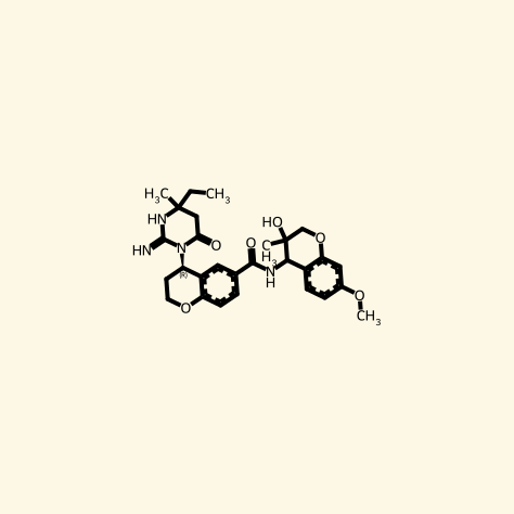 CCC1(C)CC(=O)N([C@@H]2CCOc3ccc(C(=O)NC4c5ccc(OC)cc5OCC4(C)O)cc32)C(=N)N1